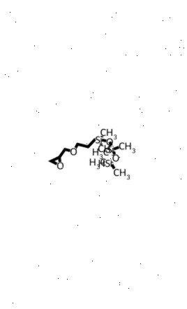 C[SiH](C)O[Si](C)(C)O[Si](C)(C)CCCOCC1CO1